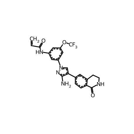 C=CC(=O)Nc1cc(OC(F)(F)F)cc(-n2cc(-c3ccc4c(c3)CCNC4=O)c(N)n2)c1